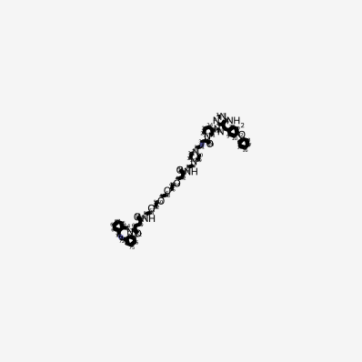 Nc1ncnc2c1c(-c1ccc(Oc3ccccc3)cc1)nn2[C@@H]1CCCN(C(=O)/C=C/CN2CCN(CCNC(=O)CCOCCOCCOCCOCCNC(=O)CCC(=O)N3Cc4ccccc4/C=C\c4ccccc43)CC2)C1